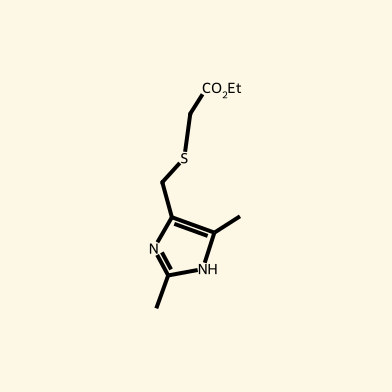 CCOC(=O)CSCc1nc(C)[nH]c1C